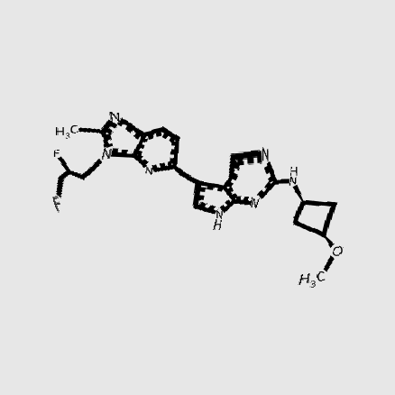 CO[C@H]1C[C@@H](Nc2ncc3c(-c4ccc5nc(C)n(CC(F)F)c5n4)c[nH]c3n2)C1